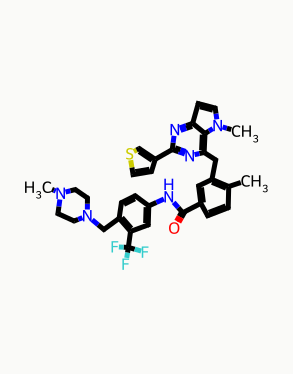 Cc1ccc(C(=O)Nc2ccc(CN3CCN(C)CC3)c(C(F)(F)F)c2)cc1Cc1nc(-c2ccsc2)nc2ccn(C)c12